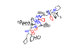 CCCCC[C@]1(C(C)C)C[C@@H](C(=O)NC(CC2CCC2)C(=O)C=O)N(C(=O)[C@@H](NC(=O)N[C@H](CNC(=O)C(C)(C)N2CCCC2)C(C)(C)C)C(C)(C)C)C1